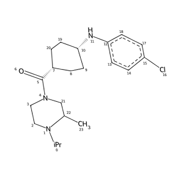 CC(C)N1CCN(C(=O)[C@H]2CC[C@@H](Nc3ccc(Cl)cc3)CC2)CC1C